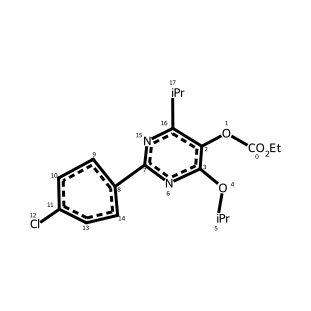 CCOC(=O)Oc1c(OC(C)C)nc(-c2ccc(Cl)cc2)nc1C(C)C